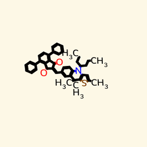 CCCC(CCC)N1c2ccc(C=C3C(=O)c4c(-c5ccccc5)ccc(-c5ccccc5)c4C3=O)cc2C(C)(C)c2sc(C)cc21